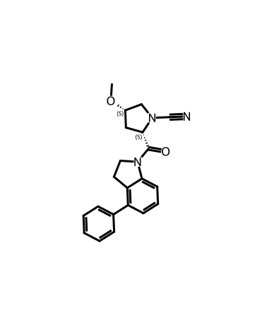 CO[C@H]1C[C@@H](C(=O)N2CCc3c(-c4ccccc4)cccc32)N(C#N)C1